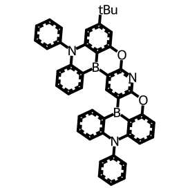 CC(C)(C)c1cc2c3c(c1)N(c1ccccc1)c1ccccc1B3c1cc3c(nc1O2)Oc1cccc2c1B3c1ccccc1N2c1ccccc1